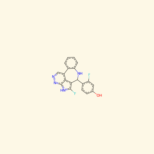 Oc1ccc(C2Nc3ccccc3-c3cnnc4[nH]c(F)c2c34)c(F)c1